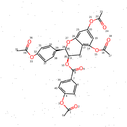 CC(=O)Oc1ccc(C(=O)O[C@@H]2Cc3c(OC(C)=O)cc(OC(C)=O)cc3O[C@@H]2c2ccc(OC(C)=O)cc2)cc1